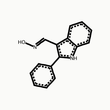 ON=Cc1c(-c2ccccc2)[nH]c2ccccc12